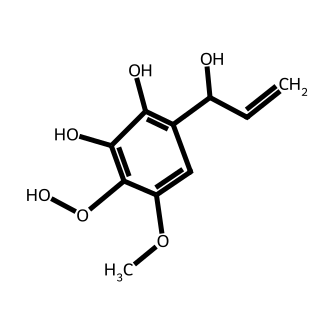 C=CC(O)c1cc(OC)c(OO)c(O)c1O